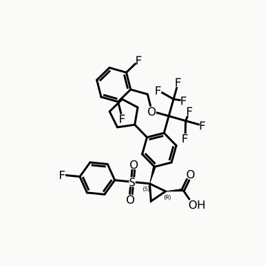 O=C(O)[C@H]1C[C@]1(c1ccc(C(OCc2c(F)cccc2F)(C(F)(F)F)C(F)(F)F)c(C2CCCC2)c1)S(=O)(=O)c1ccc(F)cc1